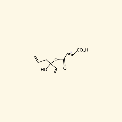 C=CCC(O)(C=C)OC(=O)/C=C/C(=O)O